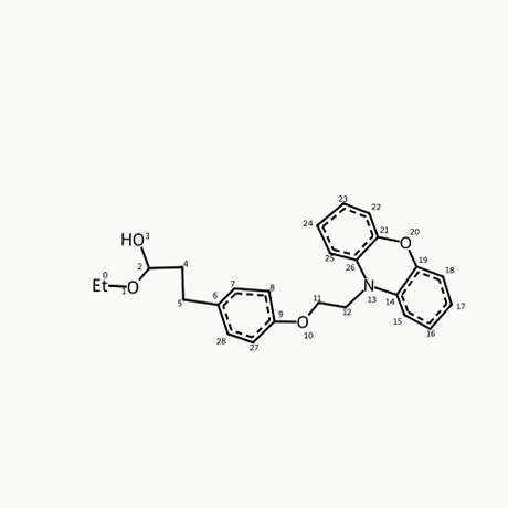 CCOC(O)CCc1ccc(OCCN2c3ccccc3Oc3ccccc32)cc1